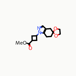 COC(=O)C1CC(n2ncc3c2CCC2(C3)OCCO2)C1